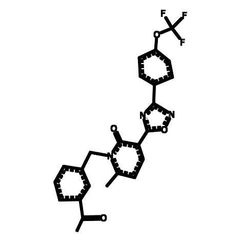 CC(=O)c1cccc(Cn2c(C)ccc(-c3nc(-c4ccc(OC(F)(F)F)cc4)no3)c2=O)c1